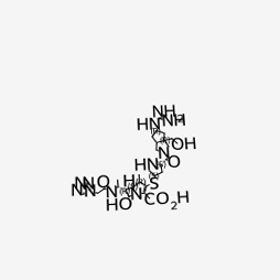 CC(NC(=O)Cn1cnnn1)[C@H]1C(=O)N2C(C(=O)O)=C(S[C@@H]3CN[C@H](C(=O)N4CC5C[C@@H](NC(=N)N)C[C@]5(CO)C4)C3)[C@H](C)[C@H]12